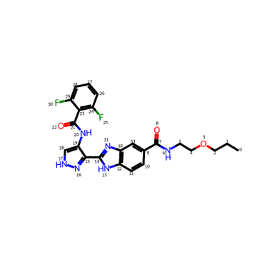 CCCOCCNC(=O)c1ccc2[nH]c(-c3n[nH]cc3NC(=O)c3c(F)cccc3F)nc2c1